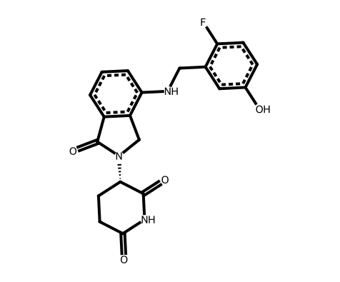 O=C1CC[C@H](N2Cc3c(NCc4cc(O)ccc4F)cccc3C2=O)C(=O)N1